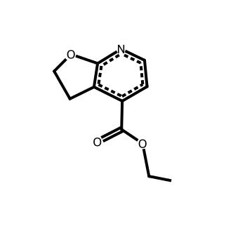 CCOC(=O)c1ccnc2c1CCO2